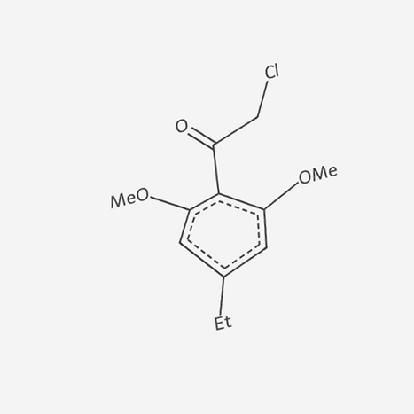 CCc1cc(OC)c(C(=O)CCl)c(OC)c1